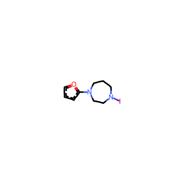 IN1CCCN(c2ccco2)CC1